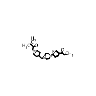 CCC(=O)c1ccc(N2CCN(CC3CCN(CC(=O)C(C)C)CC3)CC2)nc1